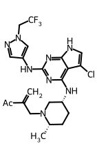 C=C(CN1C[C@H](Nc2nc(Nc3cnn(CC(F)(F)F)c3)nc3[nH]cc(Cl)c23)CC[C@@H]1C)C(C)=O